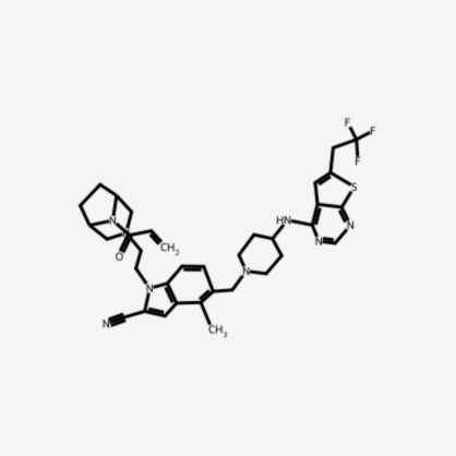 C=CC(=O)N1C2CCC1CN(CCn1c(C#N)cc3c(C)c(CN4CCC(Nc5ncnc6sc(CC(F)(F)F)cc56)CC4)ccc31)C2